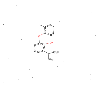 CCCCCCCC(C(=O)O)c1cccc(Oc2ccccc2C)c1O